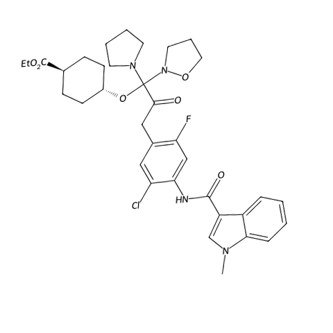 CCOC(=O)[C@H]1CC[C@H](OC(C(=O)Cc2cc(Cl)c(NC(=O)c3cn(C)c4ccccc34)cc2F)(N2CCCC2)N2CCCO2)CC1